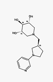 O[C@H]1[C@H](O)CN(C[C@H]2CCN(c3cccnc3)C2)C[C@@H]1O